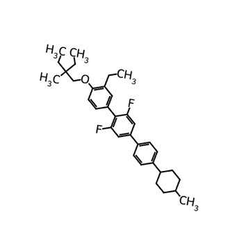 CCc1cc(-c2c(F)cc(-c3ccc(C4CCC(C)CC4)cc3)cc2F)ccc1OCC(C)(CC)CC